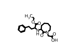 CCOC(=O)C(CCc1ccccc1)NC1CCCCCN(CC(=O)O)C1=O